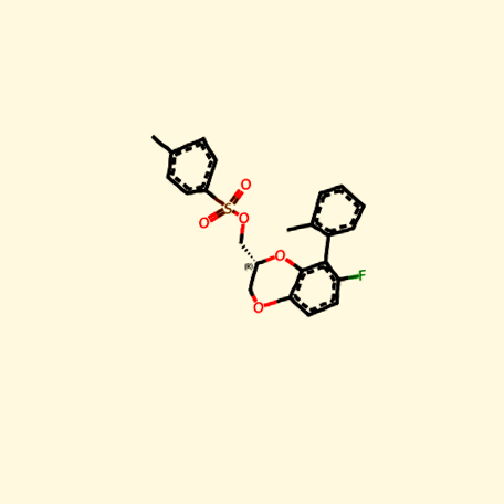 Cc1ccc(S(=O)(=O)OC[C@H]2COc3ccc(F)c(-c4ccccc4C)c3O2)cc1